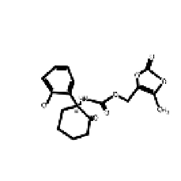 Cc1oc(=O)oc1COC(=O)N[C@]1(c2ccccc2Cl)CCCCC1=O